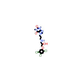 Cn1c(=O)c2c(ncn2CCCNCC(O)COc2cc(Cl)c(Cl)cc2Cl)n(C)c1=O